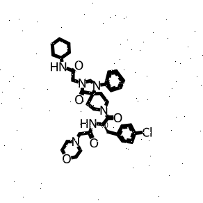 O=C(CN1CN(c2ccccc2)C2(CCN(C(=O)[C@@H](Cc3ccc(Cl)cc3)NC(=O)CN3CCOCC3)CC2)C1=O)NC1CCCCC1